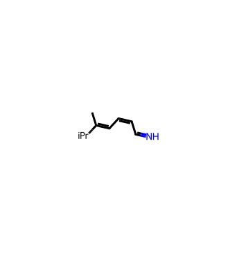 C/C(=C\C=C/C=N)C(C)C